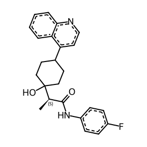 C[C@H](C(=O)Nc1ccc(F)cc1)C1(O)CCC(c2ccnc3ccccc23)CC1